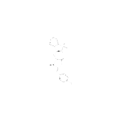 O=C1/C(=C/c2ccc(Br)cc2)SC(=S)N1NC1=NS(=O)(=O)c2ccccc21